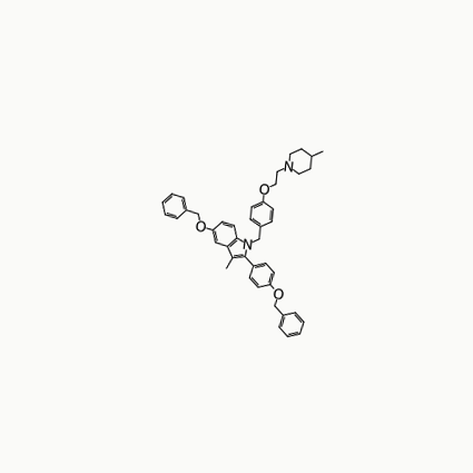 Cc1c(-c2ccc(OCc3ccccc3)cc2)n(Cc2ccc(OCCN3CCC(C)CC3)cc2)c2ccc(OCc3ccccc3)cc12